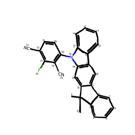 CC1(C)c2ccccc2-c2cc3c4ccccc4n(-c4ccc(C#N)c(F)c4C#N)c3cc21